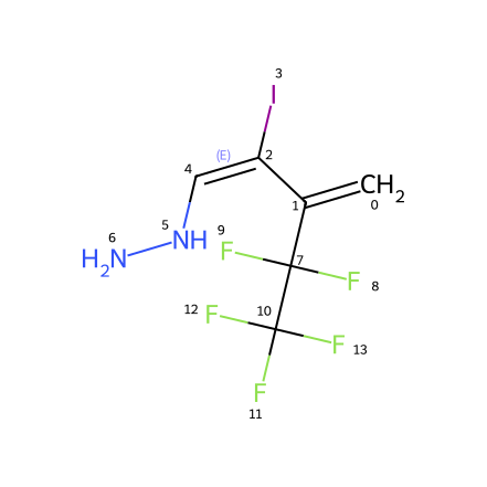 C=C(/C(I)=C\NN)C(F)(F)C(F)(F)F